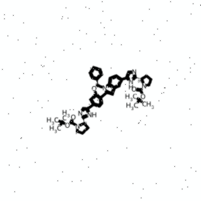 CC(C)(C)OC(=O)N1CCC[C@H]1c1ncc(-c2ccc3c(c2)O[C@@H](c2ccccc2)n2c-3cc3cc(-c4cnc([C@@H]5CCCN5C(=O)OC(C)(C)C)[nH]4)ccc32)[nH]1